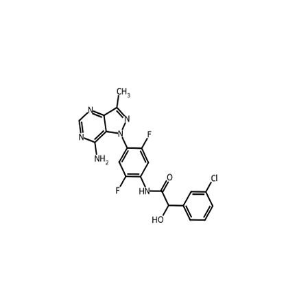 Cc1nn(-c2cc(F)c(NC(=O)C(O)c3cccc(Cl)c3)cc2F)c2c(N)ncnc12